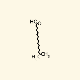 CC(C)CCCCCCCC/C=C/CCCC(=O)O